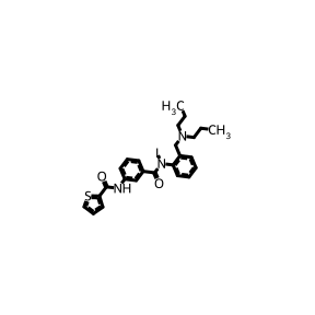 CCCN(CCC)Cc1ccccc1N(I)C(=O)c1cccc(NC(=O)c2cccs2)c1